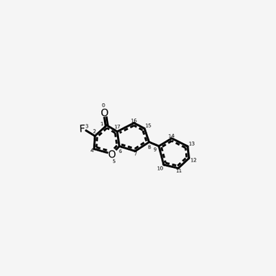 O=c1c(F)coc2cc(-c3ccccc3)ccc12